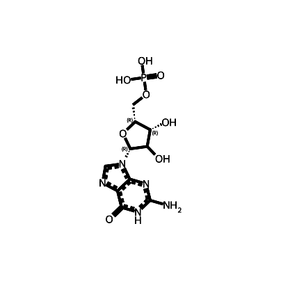 Nc1nc2c(ncn2[C@@H]2O[C@H](COP(=O)(O)O)[C@H](O)C2O)c(=O)[nH]1